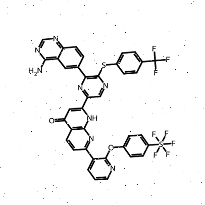 Nc1ncnc2ccc(-c3nc(-c4cc(=O)c5ccc(-c6cccnc6Oc6ccc(S(F)(F)(F)(F)F)cc6)nc5[nH]4)cnc3Sc3ccc(C(F)(F)F)cc3)cc12